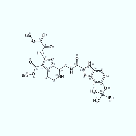 CC(C)(C)OC(=O)C(=O)Nc1sc2c(c1C(=O)OC(C)(C)C)CCNC2CNC(=O)c1cc2cc(O[Si](C)(C)C(C)(C)C)ccc2[nH]1